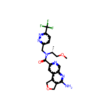 COC[C@@H](C)N(Cc1ccc(C(F)(F)F)nn1)C(=O)c1cc2c3c(c(N)nc2cn1)COC3